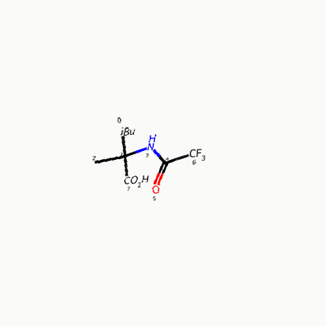 CCC(C)C(C)(NC(=O)C(F)(F)F)C(=O)O